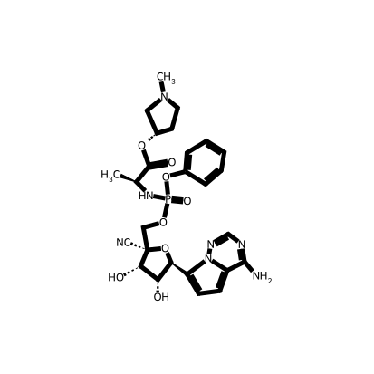 C[C@H](NP(=O)(OC[C@@]1(C#N)O[C@@H](c2ccc3c(N)ncnn23)[C@H](O)[C@@H]1O)Oc1ccccc1)C(=O)O[C@H]1CCN(C)C1